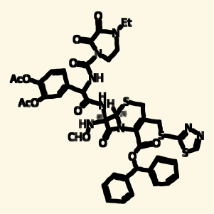 CCN1CCN(C(=O)NC(C(=O)N[C@]2(NC=O)C(=O)N3C(C(=O)OC(c4ccccc4)c4ccccc4)=C(CSc4nncs4)CS[C@H]32)c2ccc(OC(C)=O)c(OC(C)=O)c2)C(=O)C1=O